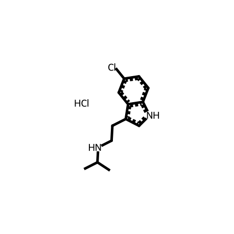 CC(C)NCCc1c[nH]c2ccc(Cl)cc12.Cl